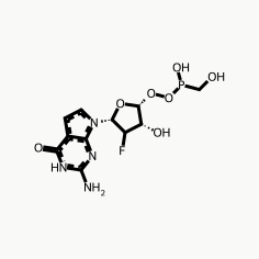 Nc1nc2c(ccn2[C@@H]2O[C@H](OOP(O)CO)[C@H](O)C2F)c(=O)[nH]1